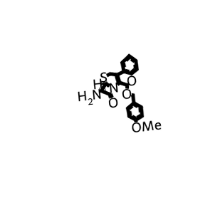 COc1ccc(COC(=O)C2=C(c3ccccc3)CS[C@H]3[C@@H](N)C(=O)N23)cc1